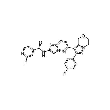 O=C(Nc1cn2nc(-c3c(-c4ccc(F)cc4)nn4c3COCC4)ccc2n1)c1ccnc(F)c1